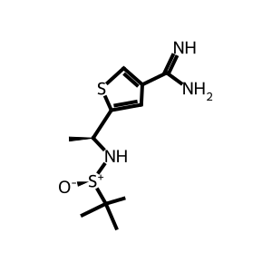 C[C@H](N[S@+]([O-])C(C)(C)C)c1cc(C(=N)N)cs1